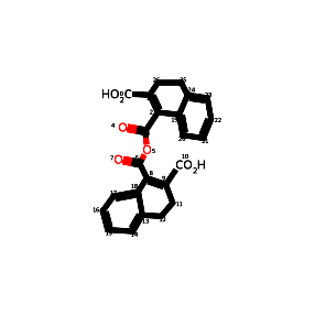 O=C(O)C1=C(C(=O)OC(=O)C2=C(C(=O)O)CCc3ccccc32)c2ccccc2CC1